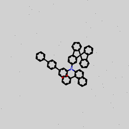 c1ccc(-c2ccc(-c3cccc(N(c4ccc5c(c4)C4(c6ccccc6-c6ccccc64)c4ccccc4-5)c4ccc5ccccc5c4-c4ccccc4)c3)cc2)cc1